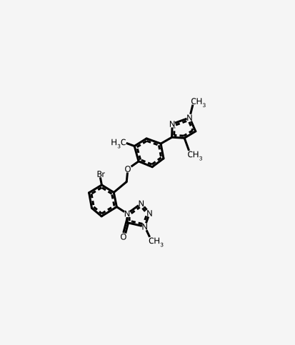 Cc1cc(-c2nn(C)cc2C)ccc1OCc1c(Br)cccc1-n1nnn(C)c1=O